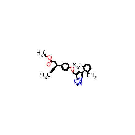 CC#CC(CC(=O)OCC)c1ccc(OCc2cc(-c3c(C)cccc3C)cn3ncnc23)cc1